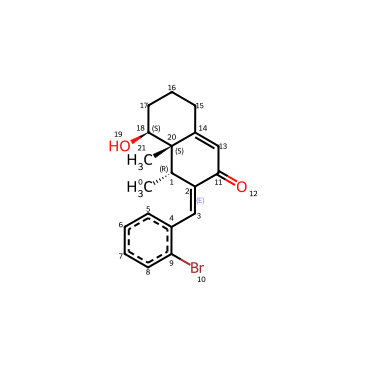 C[C@H]1/C(=C\c2ccccc2Br)C(=O)C=C2CCC[C@H](O)[C@]21C